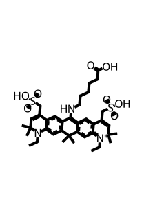 CCN1c2cc3c(cc2C(CS(=O)(=O)O)=CC1(C)C)C(NCCCCCC(=O)O)=c1cc2c(cc1C3(C)C)=[N+](CC)C(C)(C)C=C2CS(=O)(=O)O